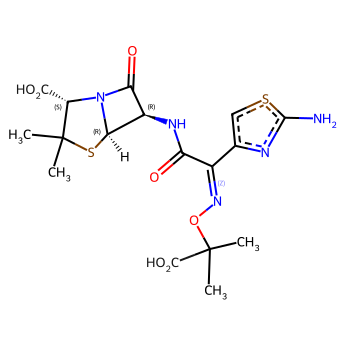 CC(C)(O/N=C(\C(=O)N[C@@H]1C(=O)N2[C@@H]1SC(C)(C)[C@@H]2C(=O)O)c1csc(N)n1)C(=O)O